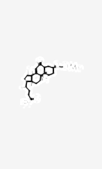 COCOC1CC[C@@]2(C)C(C1)C(=O)C=C1[C@@H]3CC[C@H]([C@H](C)CCC(=O)C(C)C)[C@@]3(C)CC[C@@H]12